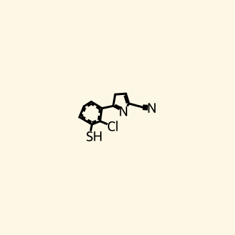 N#CC1=CCC(c2cccc(S)c2Cl)=N1